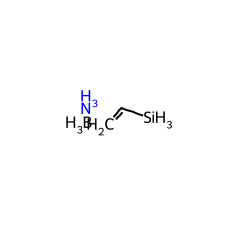 B.C=C[SiH3].N